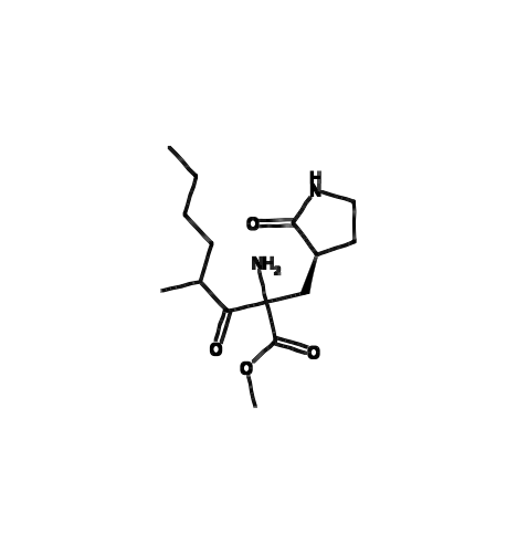 CCCCC(C)C(=O)C(N)(C[C@@H]1CCNC1=O)C(=O)OC